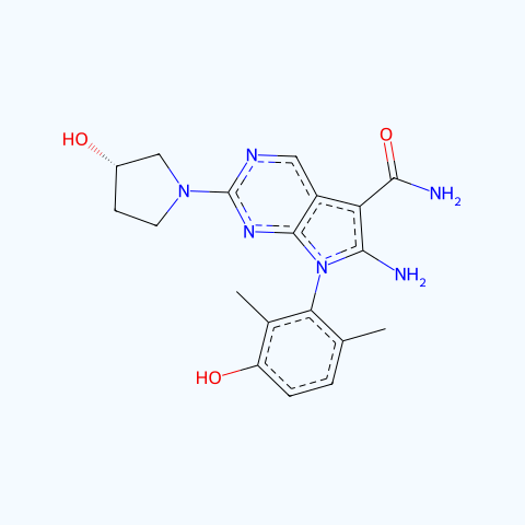 Cc1ccc(O)c(C)c1-n1c(N)c(C(N)=O)c2cnc(N3CC[C@H](O)C3)nc21